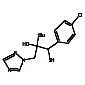 CC(C)(C)C(O)(Cn1cncn1)C(S)c1ccc(Cl)cc1